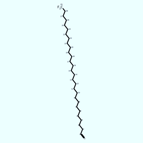 C=CCCCCCCCCCCCCCCCCCCCCCCCCCCCC(F)(F)F